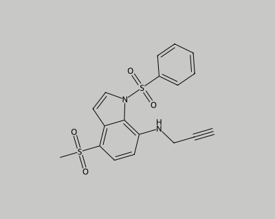 C#CCNc1ccc(S(C)(=O)=O)c2ccn(S(=O)(=O)c3ccccc3)c12